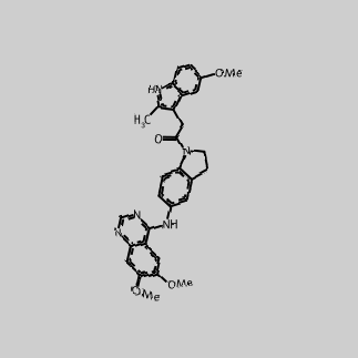 COc1ccc2[nH]c(C)c(CC(=O)N3CCc4cc(Nc5ncnc6cc(OC)c(OC)cc56)ccc43)c2c1